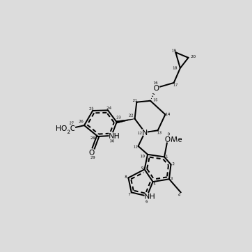 COc1cc(C)c2[nH]ccc2c1CN1CC[C@@H](OCC2CC2)C[C@@H]1c1ccc(C(=O)O)c(=O)[nH]1